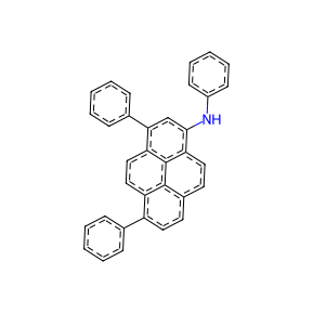 c1ccc(Nc2cc(-c3ccccc3)c3ccc4c(-c5ccccc5)ccc5ccc2c3c54)cc1